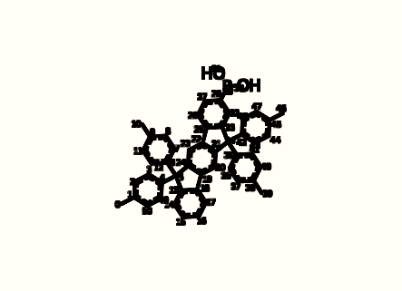 Cc1ccc(C2(c3ccc(C)cc3)c3ccccc3-c3cc4c(cc32)-c2ccc(B(O)O)cc2C4(c2ccc(C)cc2)c2ccc(C)cc2)cc1